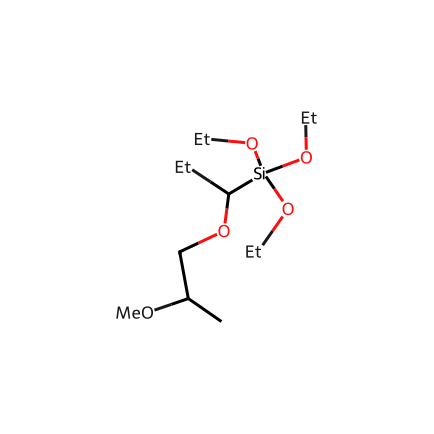 CCO[Si](OCC)(OCC)C(CC)OCC(C)OC